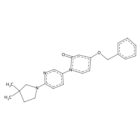 [CH2]C1(C)CCN(c2ccc(-n3ccc(OCc4ccccc4)cc3=O)cn2)C1